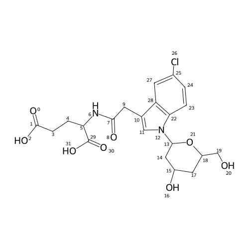 O=C(O)CCC(NC(=O)Cc1cn(C2CC(O)CC(CO)O2)c2ccc(Cl)cc12)C(=O)O